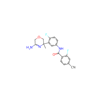 CC1(c2cc(NC(=O)c3ccc(C#N)cc3F)ccc2F)COCC(N)=N1